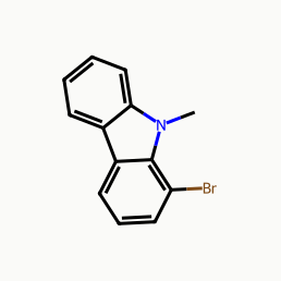 Cn1c2ccccc2c2cccc(Br)c21